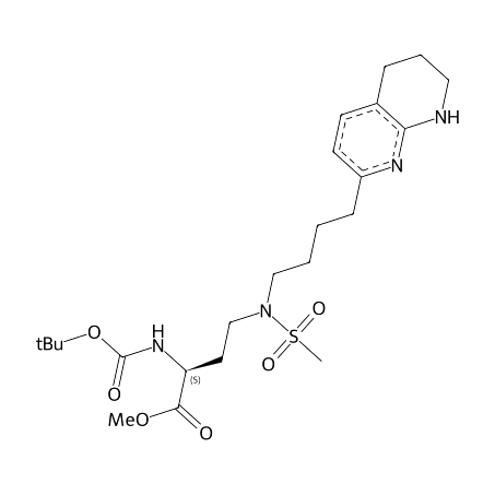 COC(=O)[C@H](CCN(CCCCc1ccc2c(n1)NCCC2)S(C)(=O)=O)NC(=O)OC(C)(C)C